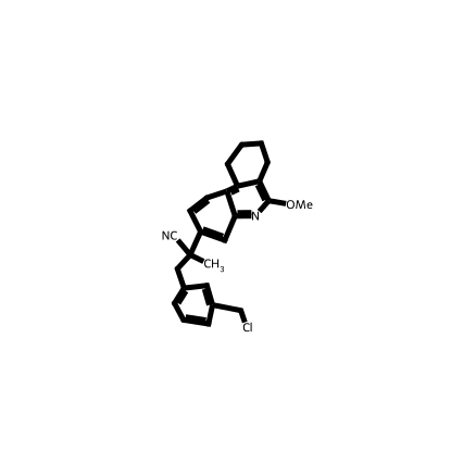 COc1nc2cc(C(C)(C#N)Cc3cccc(CCl)c3)ccc2c2c1CCCC2